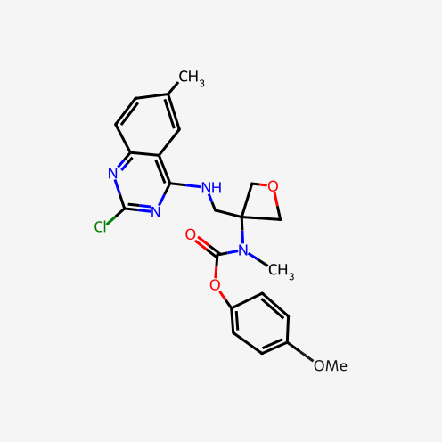 COc1ccc(OC(=O)N(C)C2(CNc3nc(Cl)nc4ccc(C)cc34)COC2)cc1